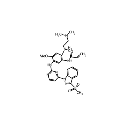 C=CC(=O)Nc1cc(Nc2nccc(-n3cc(S(C)(=O)=O)c4ccccc43)n2)c(OC)cc1N(C)CCN(C)C